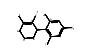 CC1=C(I)C(c2c(C)cc(C)cc2C)CCC1